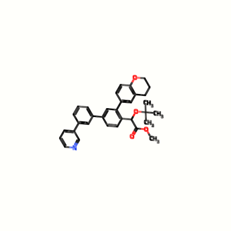 COC(=O)C(OC(C)(C)C)c1ccc(-c2cccc(-c3cccnc3)c2)cc1-c1ccc2c(c1)CCCO2